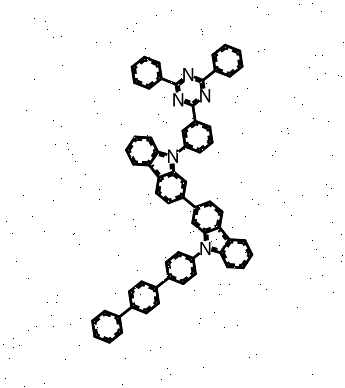 c1ccc(-c2ccc(-c3ccc(-n4c5ccccc5c5ccc(-c6ccc7c8ccccc8n(-c8cccc(-c9nc(-c%10ccccc%10)nc(-c%10ccccc%10)n9)c8)c7c6)cc54)cc3)cc2)cc1